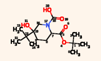 CC(C)(C)OC(=O)C1CCC(O)(C(C)(C)C)CN1C(=O)O